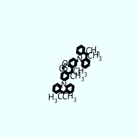 CC1(C)c2ccccc2N(c2ccc3c(c2)C(C)(C)c2cc(N4c5ccccc5C(C)(C)c5ccccc54)ccc2S3(=O)=O)c2ccccc21